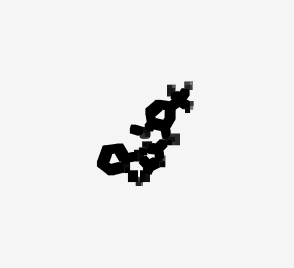 COc1ccc(C(F)(F)F)cc1Nc1nc(N)n(-c2ccccn2)n1